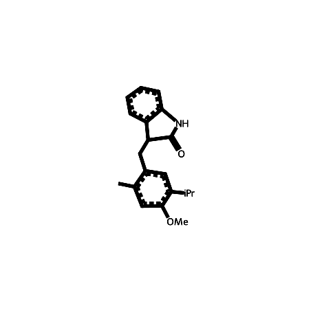 COc1cc(C)c(CC2C(=O)Nc3ccccc32)cc1C(C)C